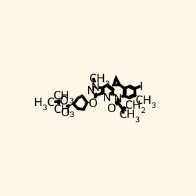 C=C(C)C(=O)N(c1ccc2c(n1)c(O[C@H]1CC[C@H](C(=O)OC(C)(C)C)CC1)nn2C)c1cc(C)c(I)cc1C1CC1